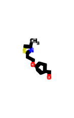 Cc1csc(CCOc2ccc(C=O)cc2)n1